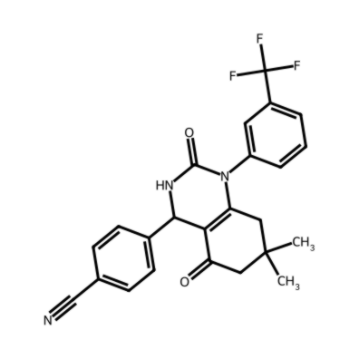 CC1(C)CC(=O)C2=C(C1)N(c1cccc(C(F)(F)F)c1)C(=O)NC2c1ccc(C#N)cc1